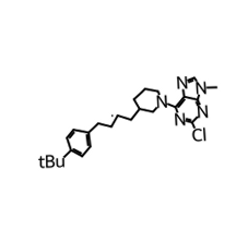 Cn1cnc2c(N3CCCC(C[CH]CCc4ccc(C(C)(C)C)cc4)C3)nc(Cl)nc21